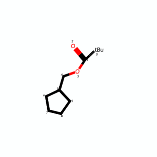 CC(C)(C)C(=O)OCC1CCCC1